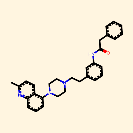 Cc1ccc2c(N3CCN(CCc4cccc(NC(=O)Cc5ccccc5)c4)CC3)cccc2n1